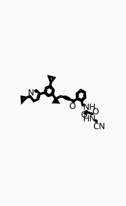 N#CCNC(=O)C(=O)NCc1ccccc1C(=O)C#CCC1(c2cc(C3=CCC(C4CC4)=[N+]=C3)cc(C3CC3)c2)CC1